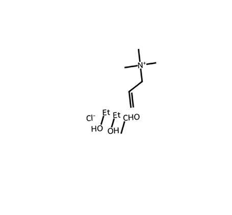 C=CC[N+](C)(C)C.CC=O.CCO.CCO.[Cl-]